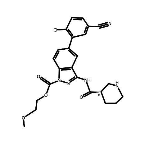 COCCOC(=O)n1nc(NC(=O)[C@@H]2CCCNC2)c2cc(-c3cc(C#N)ccc3Cl)ccc21